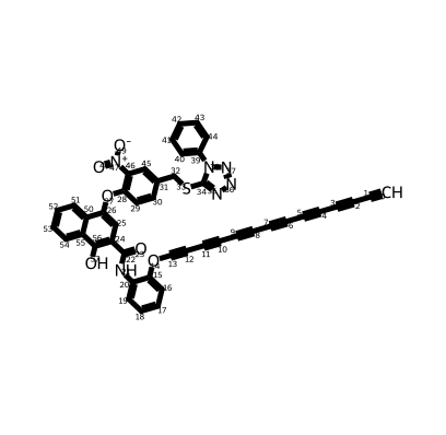 C#CC#CC#CC#CC#CC#CC#COc1ccccc1NC(=O)c1cc(Oc2ccc(CSc3nnnn3-c3ccccc3)cc2[N+](=O)[O-])c2ccccc2c1O